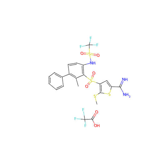 CSc1sc(C(=N)N)cc1S(=O)(=O)c1c(NS(=O)(=O)C(F)(F)F)ccc(-c2ccccc2)c1C.O=C(O)C(F)(F)F